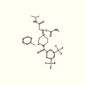 CC(C)NC(=O)CN(CC(N)=O)[C@H]1CCN(C(=O)c2cc(C(F)(F)F)cc(C(F)(F)F)c2)[C@H](Cc2ccccc2)C1